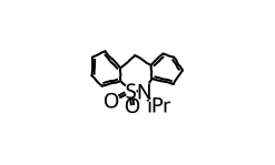 CC(C)N1c2ccccc2Cc2ccccc2S1(=O)=O